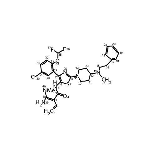 C=C/C(C(=O)Nc1sc(N2CCC(N(C)CCc3ccccc3)CC2)nc1-c1cc(Cl)ccc1OC(F)F)=C(\N)NC